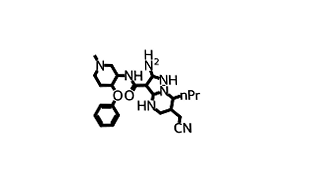 CCCC1C(CC#N)CNC2C(C(=O)NC3CN(C)CCC3Oc3ccccc3)C(N)NN12